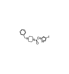 O=C(On1cc(I)cn1)N1CCN(Cc2ccccc2)CC1